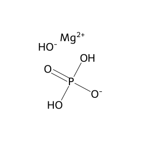 O=P([O-])(O)O.[Mg+2].[OH-]